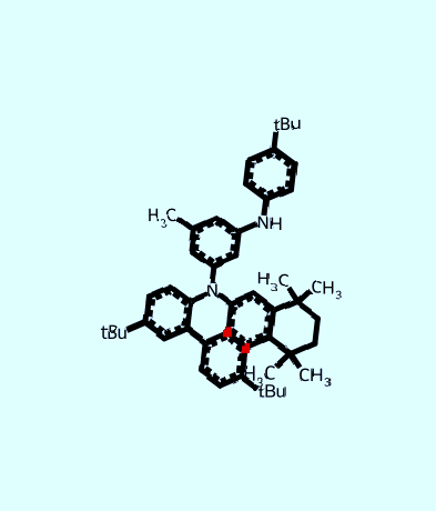 Cc1cc(Nc2ccc(C(C)(C)C)cc2)cc(N(c2ccc3c(c2)C(C)(C)CCC3(C)C)c2ccc(C(C)(C)C)cc2-c2ccc(C(C)(C)C)cc2)c1